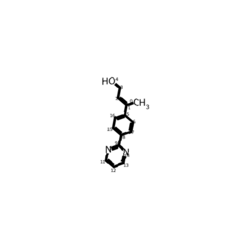 CC(=CCO)c1ccc(-c2ncccn2)cc1